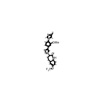 COc1cc(-c2cn(C3CCC4C=C(OC(F)(F)F)C=CC4NC3=O)nn2)ccc1-n1cnc(C)c1